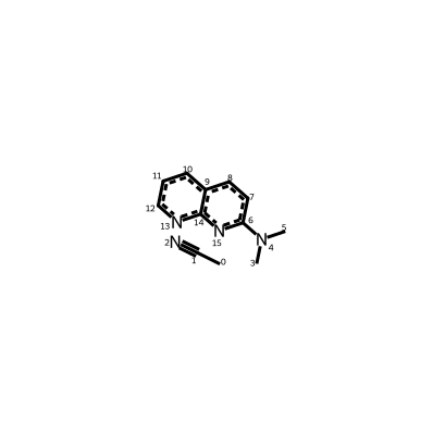 CC#N.CN(C)c1ccc2cccnc2n1